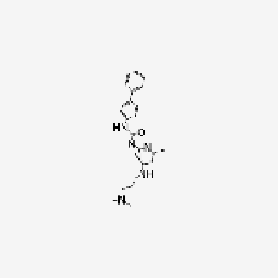 Cc1cc(NCCCN(C)C)nc(NC(=O)Nc2ccc(-c3ccccc3)cc2)n1